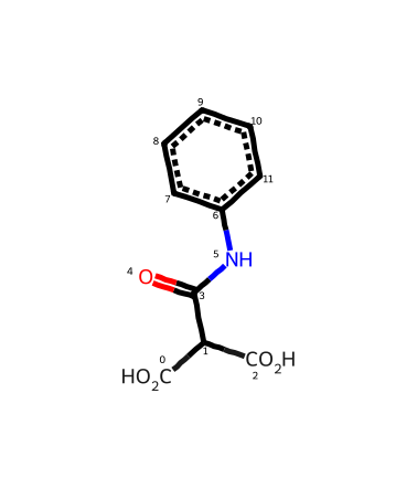 O=C(O)C(C(=O)O)C(=O)Nc1ccccc1